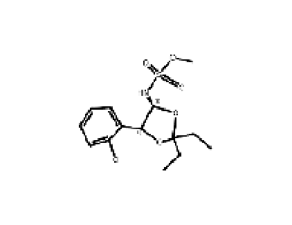 CCC1(CC)O[C@H](NS(=O)(=O)OC)[C@H](c2ccccc2Cl)O1